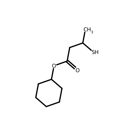 CC(S)CC(=O)OC1CCCCC1